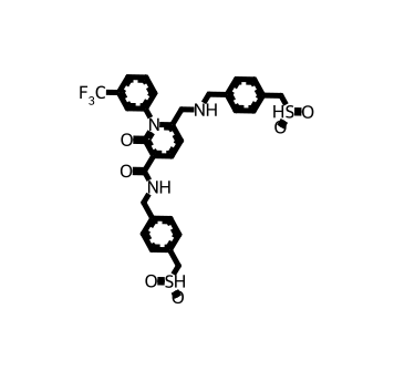 O=C(NCc1ccc(C[SH](=O)=O)cc1)c1ccc(CNCc2ccc(C[SH](=O)=O)cc2)n(-c2cccc(C(F)(F)F)c2)c1=O